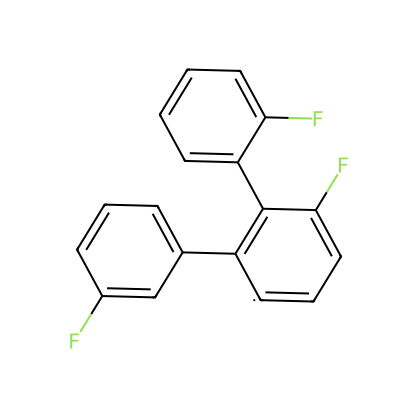 Fc1cccc(-c2[c]ccc(F)c2-c2ccccc2F)c1